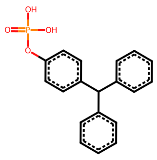 O=P(O)(O)Oc1ccc(C(c2ccccc2)c2ccccc2)cc1